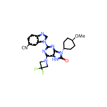 [C-]#[N+]c1ccc2ncn(-c3nc(N4CC(F)(F)C4)c4[nH]c(=O)n([C@H]5CC[C@H](OC)CC5)c4n3)c2c1